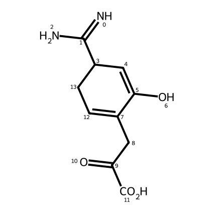 N=C(N)C1C=C(O)C(CC(=O)C(=O)O)=CC1